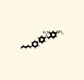 CCCCC[C@H]1CC[C@H](c2ccc(OCc3ccc(N)cc3N)cc2)CC1